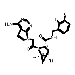 Nc1ncnc2c1ccn2CC(=O)N1[C@@H]2C[C@@H]2C[C@H]1C(=O)NCc1cccc(Cl)c1F